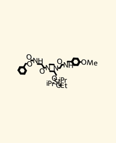 CCO[Si](OCC1CN(C(=O)CCNC(=O)OCc2ccccc2)CCN1CC(=O)NCc1ccc(OC)cc1)(C(C)C)C(C)C